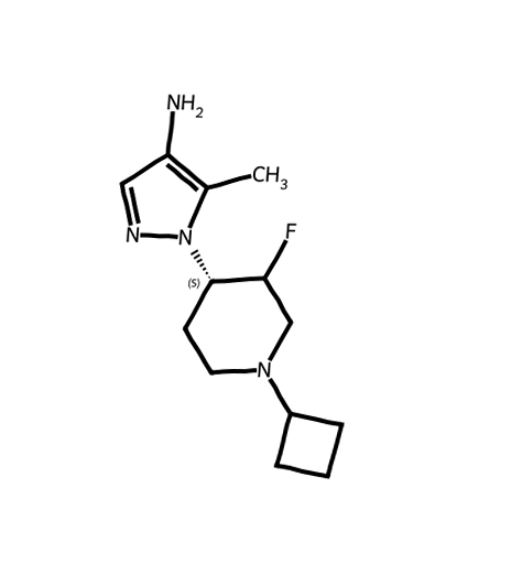 Cc1c(N)cnn1[C@H]1CCN(C2CCC2)CC1F